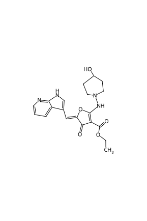 CCOC(=O)C1=C(NN2CCC(O)CC2)OC(=Cc2c[nH]c3ncccc23)C1=O